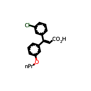 CCCOc1cccc(C(=CC(=O)O)c2cccc(Cl)c2)c1